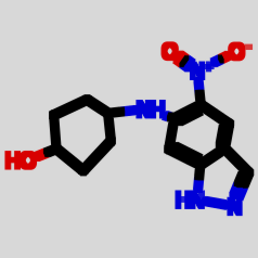 O=[N+]([O-])c1cc2cn[nH]c2cc1NC1CCC(O)CC1